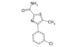 Cc1sc(C(N)=O)nc1-c1cccc(Cl)c1